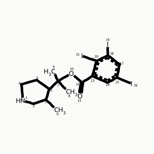 CC1CNCCC1C(C)(C)OC(=O)c1cc(I)cc(I)c1I